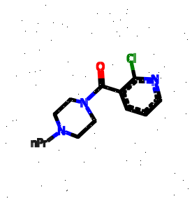 CCCN1CCN(C(=O)c2cccnc2Cl)CC1